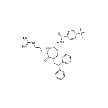 CC(C)(C)c1ccc(C(=O)NC[C@@H]2CCN(CC(c3ccccc3)c3ccccc3)C(=O)[C@H](CCCNC(=N)N)N2)cc1